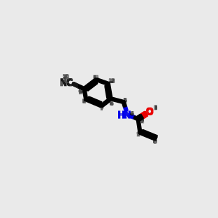 C=CC(=O)NCc1ccc(C#N)cc1